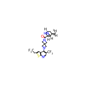 [2H]C([2H])=C1C[C@@H]2CC[C@H]1[C@@H](C(=O)N1CC3(C1)CN(c1c(C(F)(F)F)cnc4sc(CC(F)(F)F)cc14)C3)N2